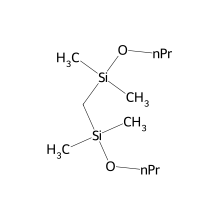 CCCO[Si](C)(C)C[Si](C)(C)OCCC